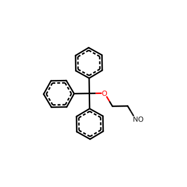 O=NCCOC(c1ccccc1)(c1ccccc1)c1ccccc1